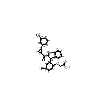 O=C(O)COc1ccc(Cl)cc1C1c2ccccc2CN1C(=O)C1CC1c1cccc(Cl)c1